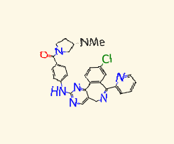 CN[C@H]1CCN(C(=O)c2ccc(Nc3ncc4c(n3)-c3ccc(Cl)cc3C(c3ccccn3)=NC4)cc2)C1